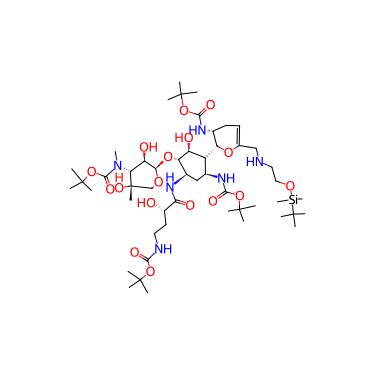 CN(C(=O)OC(C)(C)C)[C@@H]1[C@@H](O)[C@@H](O[C@H]2[C@H](NC(=O)[C@@H](O)CCNC(=O)OC(C)(C)C)C[C@H](NC(=O)OC(C)(C)C)C([C@H]3OC(CNCCO[Si](C)(C)C(C)(C)C)=CC[C@H]3NC(=O)OC(C)(C)C)[C@@H]2O)OC[C@]1(C)O